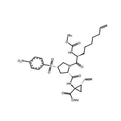 C=CCCCCC[C@H](NC(=O)OC(C)(C)C)C(=O)N1C[C@@H](S(=O)(=O)c2ccc([N+](=O)[O-])cc2)C[C@H]1C(=O)N[C@]1(C(=O)OC)C[C@H]1C=C